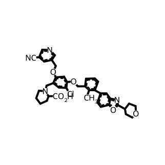 Cc1c(COc2cc(OCc3cncc(C#N)c3)c(CN3CCCCC3C(=O)O)cc2Cl)cccc1-c1ccc2oc(C3CCOCC3)nc2c1